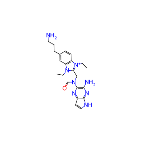 CCn1c(CN(C=O)c2nc3cc[nH]c3nc2N)[n+](CC)c2ccc(CCCN)cc21